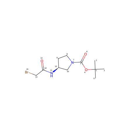 CC(C)(C)OC(=O)N1CC[C@H](NC(=O)CBr)C1